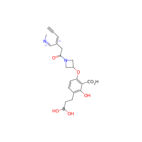 C#C/C=C(\C=N/C)CC(=O)N1CC(Oc2ccc(CCB(O)O)c(O)c2C(=O)O)C1